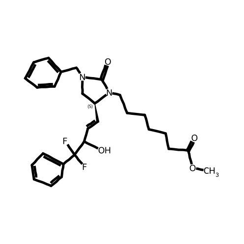 COC(=O)CCCCCCN1C(=O)N(Cc2ccccc2)C[C@@H]1C=CC(O)C(F)(F)c1ccccc1